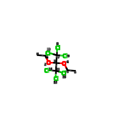 CCOC(OCC)(C(Cl)(Cl)Cl)C(Cl)(Cl)Cl